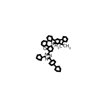 CC1(C)c2ccccc2-c2cc3c4ccccc4n(-c4ccc(-c5nc(-c6ccccc6)nc(-c6ccc(-c7ccccc7)cc6)n5)c5oc6ccccc6c45)c3cc21